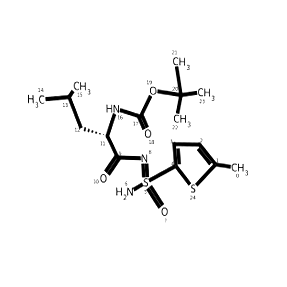 Cc1ccc(S(N)(=O)=NC(=O)[C@H](CC(C)C)NC(=O)OC(C)(C)C)s1